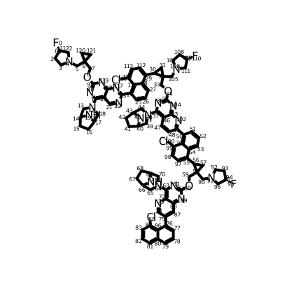 F[C@@H]1CCN(CC2(COc3nc(N4CC5CCC(C4)N5)c4cnc(-c5cccc6c(C7CC7(COc7nc(N8CC9CCC(C8)N9)c8ccc(-c9cccc%10c(C%11CC%11(COc%11nc(N%12CC%13CCC(C%12)N%13)c%12ncc(-c%13cccc%14cccc(Cl)c%13%14)cc%12n%11)CN%11CC[C@@H](F)C%11)ccc(Cl)c9%10)nc8n7)CN7CC[C@@H](F)C7)ccc(Cl)c56)nc4n3)CC2)C1